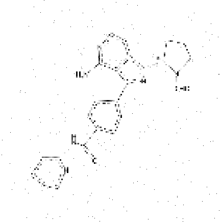 Nc1nccn2c([C@@H]3CCCN3C=O)nc(-c3ccc(C(=O)Nc4ccccn4)cc3)c12